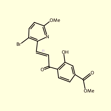 COC(=O)c1ccc(C(=O)/C=C/c2nc(OC)ccc2Br)c(O)c1